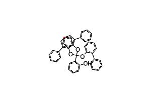 Oc1ccccc1C(Oc1ccccc1-c1ccccc1)(Oc1ccccc1-c1ccccc1)Oc1ccccc1-c1ccccc1